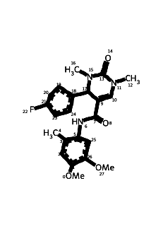 COc1cc(C)c(NC(=O)C2=CN(C)C(=O)N(C)C2c2ccc(F)cc2)cc1OC